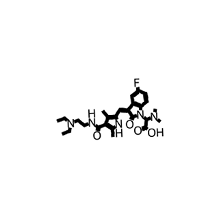 CCN(CC)CCNC(=O)c1c(C)[nH]c(C=C2C(=O)N(C(C(=O)O)N(C)C)c3ccc(F)cc32)c1C